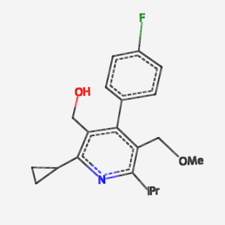 COCc1c(C(C)C)nc(C2CC2)c(CO)c1-c1ccc(F)cc1